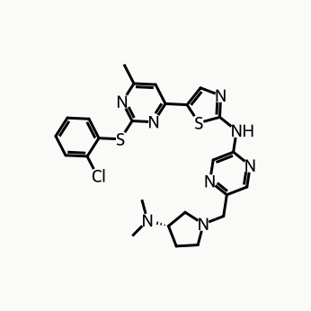 Cc1cc(-c2cnc(Nc3cnc(CN4CC[C@H](N(C)C)C4)cn3)s2)nc(Sc2ccccc2Cl)n1